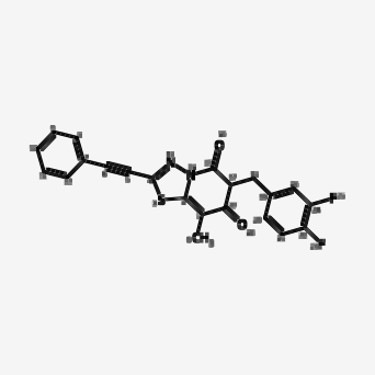 CC1=C2SC(C#Cc3ccccc3)=NN2C(=O)C(Cc2ccc(F)c(F)c2)C1=O